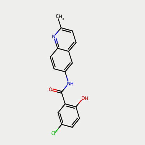 Cc1ccc2cc(NC(=O)c3cc(Cl)ccc3O)ccc2n1